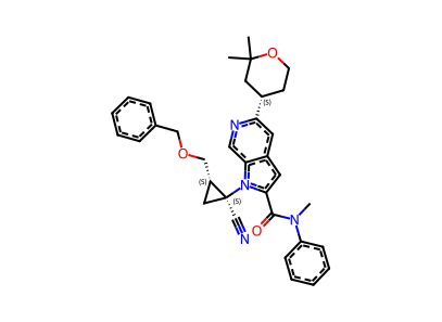 CN(C(=O)c1cc2cc([C@H]3CCOC(C)(C)C3)ncc2n1[C@@]1(C#N)C[C@@H]1COCc1ccccc1)c1ccccc1